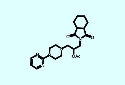 CC(=O)OC(CN1CCN(c2ncccn2)CC1)CN1C(=O)C2CCCCC2C1=O